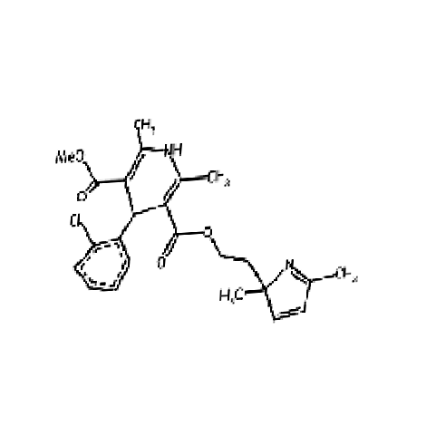 COC(=O)C1=C(C)NC(C)=C(C(=O)OCCC2(C)C=CC(C)=N2)C1c1ccccc1Cl